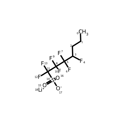 CCCC(F)C(F)(F)C(F)(F)C(F)(F)S(=O)(=O)[O-].[Li+]